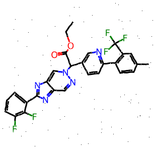 CCOC(=O)C(c1ccc(-c2ccc(C)cc2C(F)(F)F)nc1)n1cc2nc(-c3cccc(F)c3F)nc-2cn1